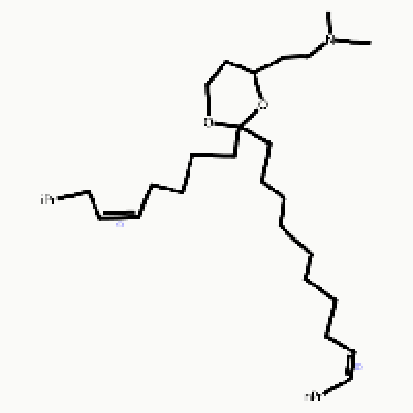 CCC/C=C\CCCCCCCCC1(CCCC/C=C\CC(C)C)OCCC(CCN(C)C)O1